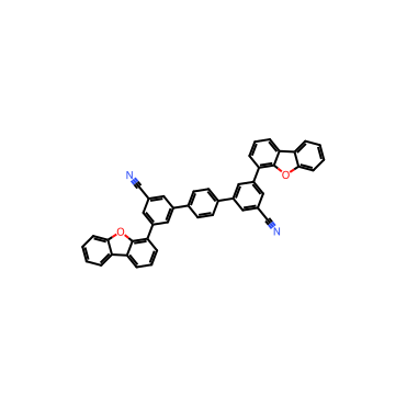 N#Cc1cc(-c2ccc(-c3cc(C#N)cc(-c4cccc5c4oc4ccccc45)c3)cc2)cc(-c2cccc3c2oc2ccccc23)c1